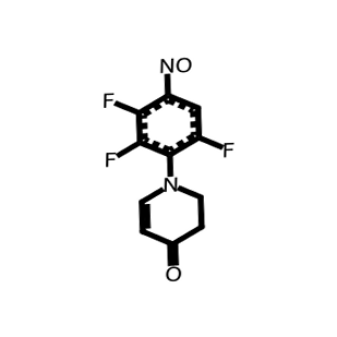 O=Nc1cc(F)c(N2C=CC(=O)CC2)c(F)c1F